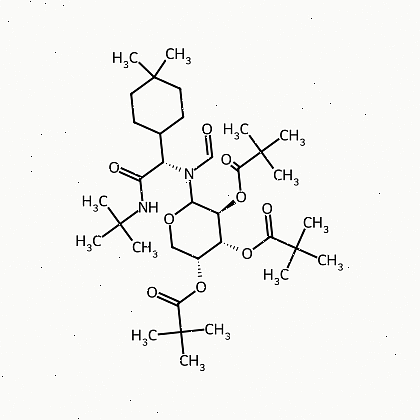 CC1(C)CCC([C@@H](C(=O)NC(C)(C)C)N(C=O)C2OC[C@@H](OC(=O)C(C)(C)C)[C@@H](OC(=O)C(C)(C)C)[C@@H]2OC(=O)C(C)(C)C)CC1